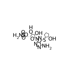 Nc1ncnc2c1c(SC1CCCC1O)nn2[C@@H]1O[C@H](COS(N)(=O)=O)[C@@H](O)[C@H]1O